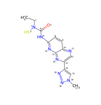 CCN(S)C(=O)Nc1ccc2ncc(-c3cn(C)nn3)nc2n1